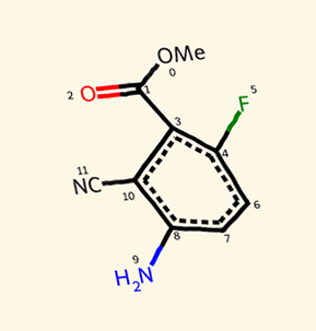 COC(=O)c1c(F)ccc(N)c1C#N